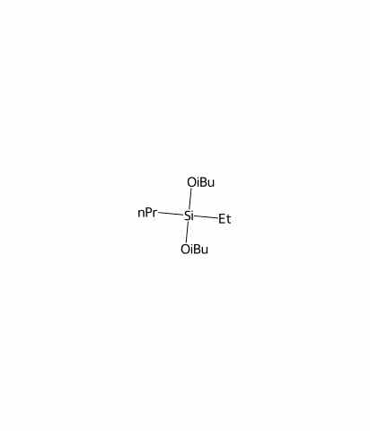 CCC[Si](CC)(OCC(C)C)OCC(C)C